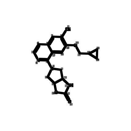 N#Cc1cc2ccnc(N3CC4NC(=O)OC4C3)c2cc1OCC1CC1